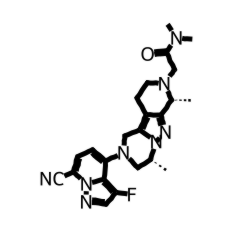 C[C@@H]1c2nn3c(c2CCN1CC(=O)N(C)C)CN(c1ccc(C#N)n2ncc(F)c12)C[C@H]3C